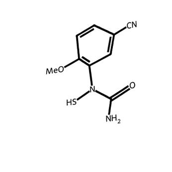 COc1ccc(C#N)cc1N(S)C(N)=O